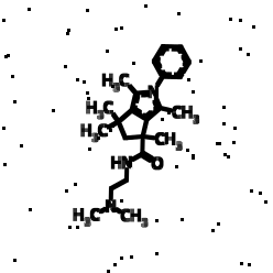 Cc1c2c(c(C)n1-c1ccccc1)C(C)(C(=O)NCCN(C)C)CC2(C)C